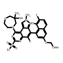 CCc1c(F)ccc2cc(OCOC)cc(-c3c(F)c4nc(S(=O)(=O)CC)nc(N5CCOCC(C)(O)C5)c4c4cn(C)nc34)c12